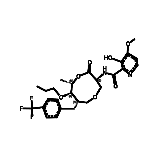 CCCO[C@@H]1[C@@H](Cc2ccc(C(F)(F)F)cc2)COC[C@H](NC(=O)c2nccc(OC)c2O)C(=O)O[C@H]1C